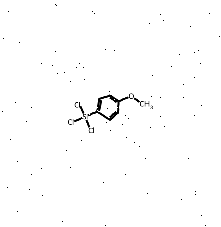 COc1ccc([Si](Cl)(Cl)Cl)cc1